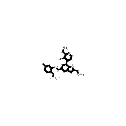 CCOC(=O)Cc1ccc(C)cc1OCc1cc(-c2ccnc(CN)c2F)c2oc(COC)cc2c1